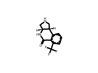 O=C1N[C@@H]2CNC[C@@H]2c2cccc(C(F)(F)F)c21